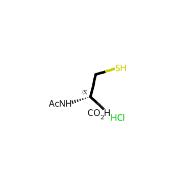 CC(=O)N[C@H](CS)C(=O)O.Cl